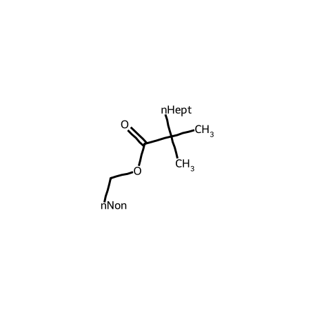 CCCCCCCCCCOC(=O)C(C)(C)CCCCCCC